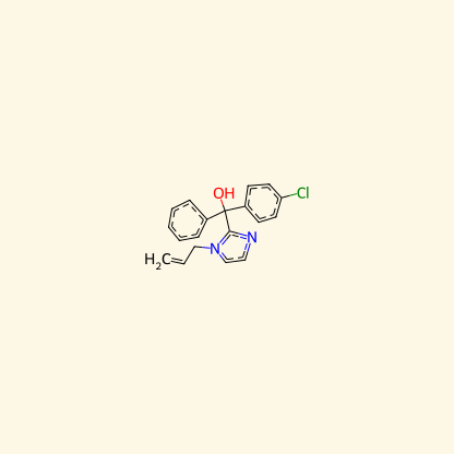 C=CCn1ccnc1C(O)(c1ccccc1)c1ccc(Cl)cc1